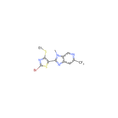 CCSc1nc(Br)sc1-c1nc2cc(C(F)(F)F)ncc2n1C